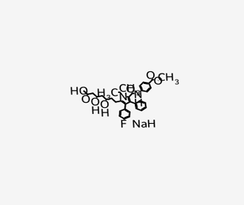 COC(=O)c1ccc(NC(=O)c2c(-c3ccccc3)c(-c3ccc(F)cc3)c(CC[C@@H](O)C[C@@H](O)CC(=O)O)n2C(C)C)cc1.[NaH]